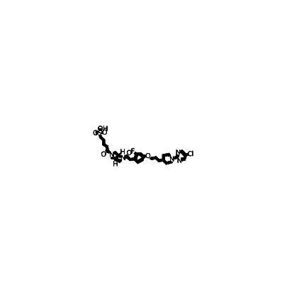 O=C(CCCCS(=O)(=O)O)N1C[C@H]2CN(C(=O)Cc3ccc(OCCCC4CCN(c5ncc(Cl)cn5)CC4)cc3F)[C@H]2C1